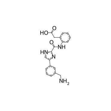 NCc1cccc(-c2c[nH]c(C(=O)Nc3ccccc3CC(=O)O)n2)c1